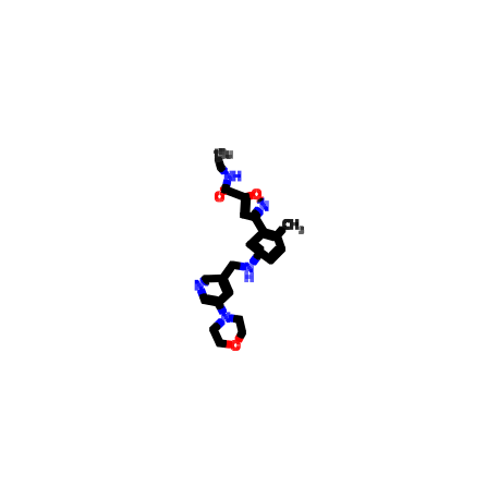 Cc1ccc(NCc2cncc(N3CCOCC3)c2)cc1-c1cc(C(=O)NCC(C)(C)C)on1